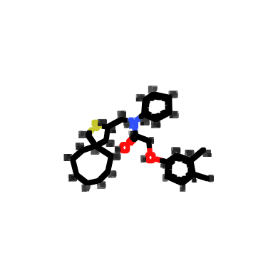 Cc1ccc(OCC(=O)N(CC2CC3(CCCCCCC3)CS2)c2ccccc2)cc1C